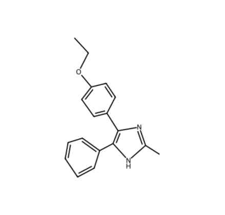 CCOc1ccc(-c2nc(C)[nH]c2-c2ccccc2)cc1